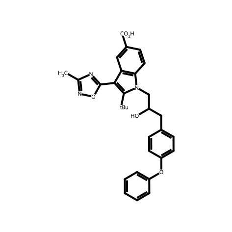 Cc1noc(-c2c(C(C)(C)C)n(CC(O)Cc3ccc(Oc4ccccc4)cc3)c3ccc(C(=O)O)cc23)n1